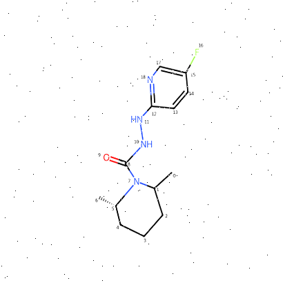 CC1CCC[C@H](C)N1C(=O)NNc1ccc(F)cn1